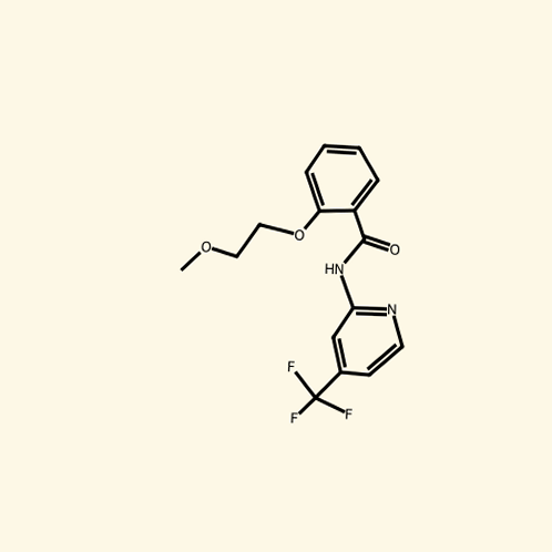 COCCOc1ccccc1C(=O)Nc1cc(C(F)(F)F)ccn1